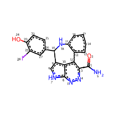 NC(=O)c1nnc2[nH]cc3c2c1-c1ccccc1NC3c1ccc(O)c(I)c1